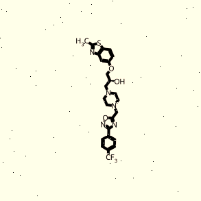 Cc1nc2cc(OC[C@@H](O)CN3CCN(Cc4nc(-c5ccc(C(F)(F)F)cc5)no4)CC3)ccc2s1